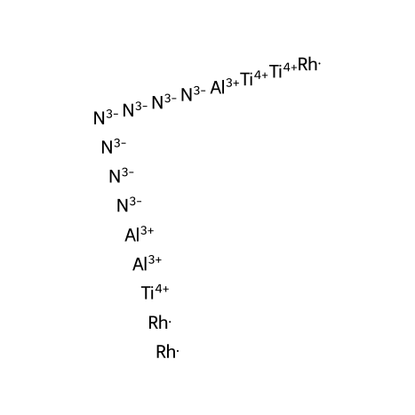 [Al+3].[Al+3].[Al+3].[N-3].[N-3].[N-3].[N-3].[N-3].[N-3].[N-3].[Rh].[Rh].[Rh].[Ti+4].[Ti+4].[Ti+4]